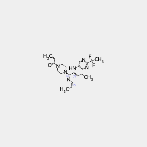 C=CC(=O)N1CCN(C(=N/C=C\C)/C(=C/CC)Nc2cnc(C(C)(F)F)nc2)CC1